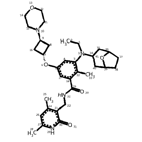 CCN(c1cc(O[C@H]2C[C@H](N3CCOCC3)C2)cc(C(=O)NCc2c(C)cc(C)[nH]c2=O)c1C)C1CC2CCC(C1)O2